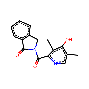 Cc1cnc(C(=O)N2Cc3ccccc3C2=O)c(C)c1O